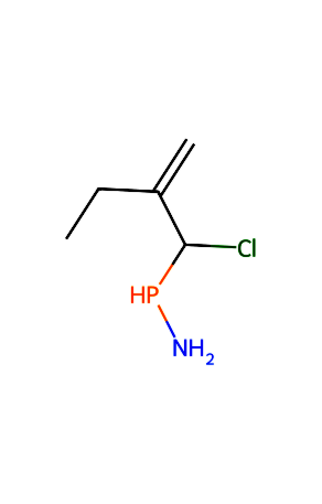 C=C(CC)C(Cl)PN